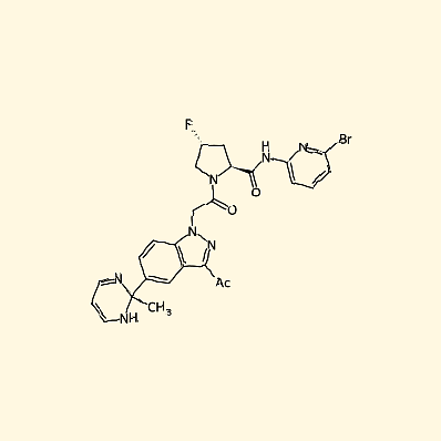 CC(=O)c1nn(CC(=O)N2C[C@H](F)C[C@H]2C(=O)Nc2cccc(Br)n2)c2ccc(C3(C)N=CC=CN3)cc12